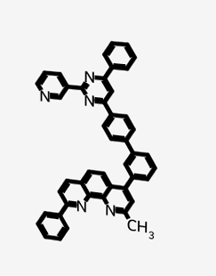 Cc1cc(-c2cccc(-c3ccc(-c4cc(-c5ccccc5)nc(-c5cccnc5)n4)cc3)c2)c2ccc3ccc(-c4ccccc4)nc3c2n1